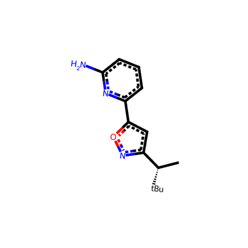 C[C@@H](c1cc(-c2cccc(N)n2)on1)C(C)(C)C